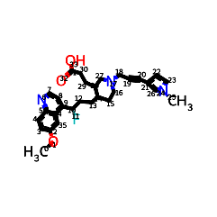 COc1ccc2nccc([C@@H](F)CCC3CCN(CC#Cc4ccn(C)c4)CC3CCC(=O)O)c2c1